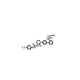 CC(C)CS(=O)(=O)Nc1ccccc1-c1ccc(N2CCC[C@@H](NC(=O)Nc3ccc(C(F)(F)F)cc3)C2=O)cc1